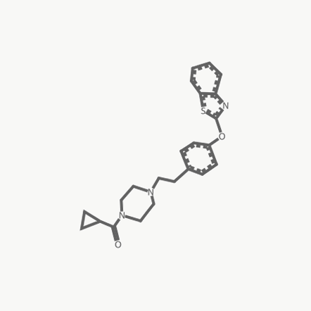 O=C(C1CC1)N1CCN(CCc2ccc(Oc3nc4ccccc4s3)cc2)CC1